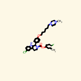 C=C/C=C(\C=C/CF)OC(=O)N1CCc2c([nH]c3ccc(Cl)cc23)C1c1ccc(OCCCCCCN2CCN(C)CC2)cc1